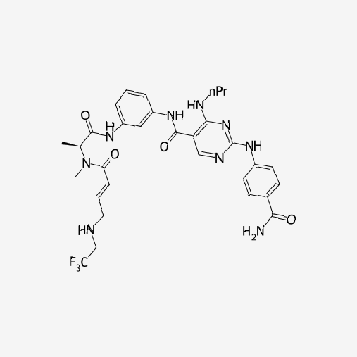 CCCNc1nc(Nc2ccc(C(N)=O)cc2)ncc1C(=O)Nc1cccc(NC(=O)[C@H](C)N(C)C(=O)/C=C/CNCC(F)(F)F)c1